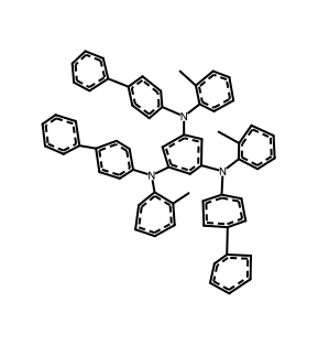 Cc1ccccc1N(c1ccc(-c2ccccc2)cc1)c1cc(N(c2ccc(-c3ccccc3)cc2)c2ccccc2C)cc(N(c2ccc(-c3ccccc3)cc2)c2ccccc2C)c1